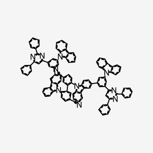 N#Cc1ccc(-n2c3ccccc3c3cc(-c4cc(-c5cc(-c6ccccc6)nc(-c6ccccc6)n5)cc(-n5c6ccccc6c6ccccc65)c4)ccc32)c(-c2cc(C#N)ccc2-n2c3ccccc3c3cc(-c4cc(-c5cc(-c6ccccc6)nc(-c6ccccc6)n5)cc(-n5c6ccccc6c6ccccc65)c4)ccc32)c1